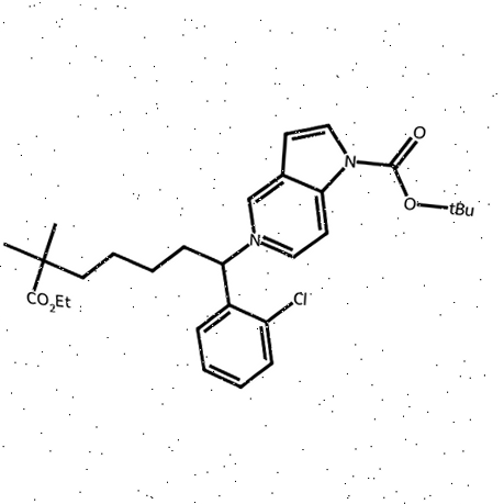 CCOC(=O)C(C)(C)CCCCC(c1ccccc1Cl)[n+]1ccc2c(ccn2C(=O)OC(C)(C)C)c1